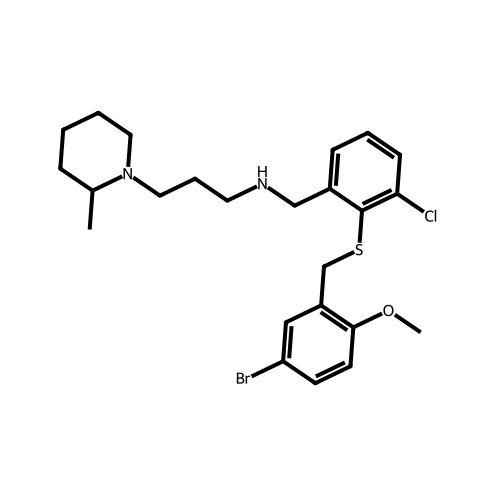 COc1ccc(Br)cc1CSc1c(Cl)cccc1CNCCCN1CCCCC1C